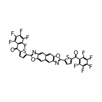 O=C(c1ccc(-c2nc3cc4cc5oc(-c6ccc(C(=O)c7c(F)c(F)c(F)c(F)c7F)s6)nc5cc4cc3o2)s1)c1c(F)c(F)c(F)c(F)c1F